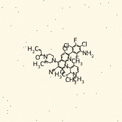 C=CC(=O)N1CCN(c2c(C#N)c(=O)n(C3=C(C)C=CN(C)C3C(C)C)c3nc(-c4c(F)c(N)c(Cl)c(F)c4Cl)c(Cl)cc23)C[C@H]1C